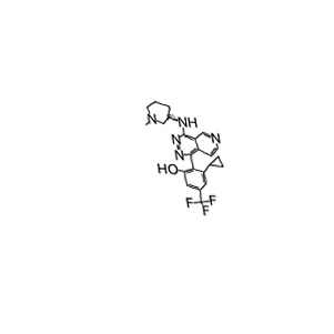 CN1CCC[C@@H](Nc2nnc(-c3c(O)cc(C(F)(F)F)cc3C3CC3)c3ccncc23)C1